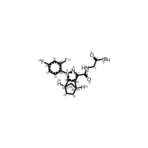 CC(C)(C)C(=O)CNC(=O)c1nn(-c2ccc(F)cc2F)c2c1[C@@H]1CC[C@H]2C1